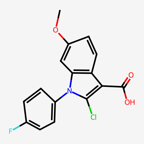 COc1ccc2c(C(=O)O)c(Cl)n(-c3ccc(F)cc3)c2c1